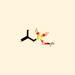 C=C(C)CS(=O)(=O)OCCC